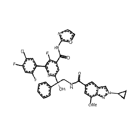 COc1cc(C(=O)NC[C@@](O)(c2ccccc2)c2cc(C(=O)Nc3ncco3)c(F)c(-c3cc(Cl)c(F)cc3F)n2)cc2cn(C3CC3)nc12